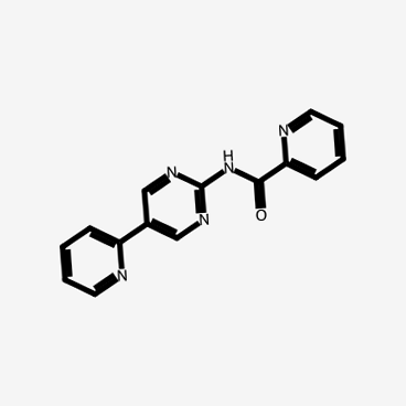 O=C(Nc1ncc(-c2ccccn2)cn1)c1ccccn1